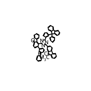 CC1(C)c2ccccc2-c2ccc(-c3nc(-c4cccc(C5(c6ccccc6)c6ccccc6-c6ccccc65)c4)nc(-c4c(-c5cccc(-c6ccccc6)c5)ccc5oc6ccccc6c45)n3)cc21